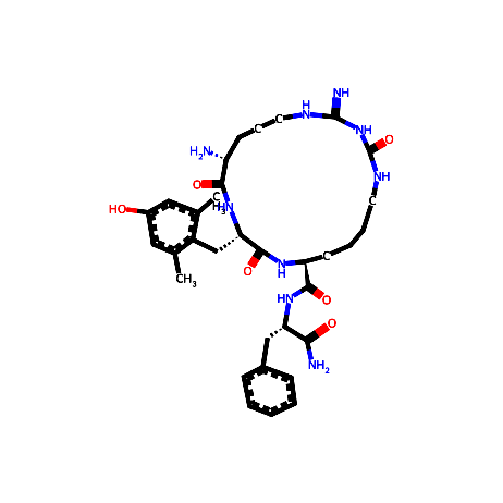 Cc1cc(O)cc(C)c1C[C@@H]1NC(=O)[C@H](N)CCCNC(=N)NC(=O)NCCCC[C@@H](C(=O)N[C@@H](Cc2ccccc2)C(N)=O)NC1=O